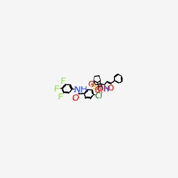 O=C(Nc1cc(F)c(F)c(F)c1)c1ccc(Cl)c(S(=O)(=O)[C@@H]2C3CCC2[C@@](O)(c2cc(-c4ccccc4)on2)C3)c1